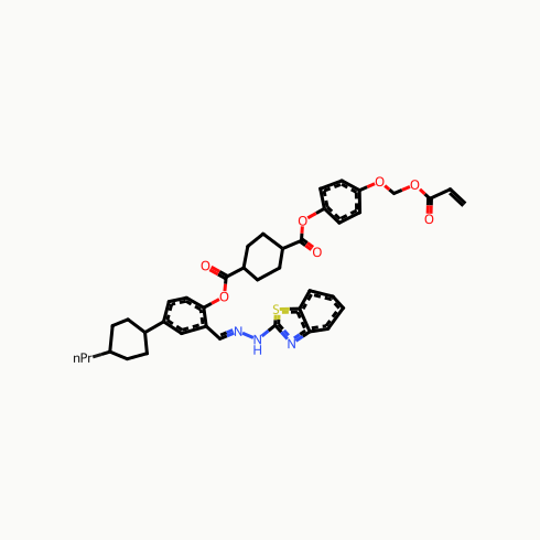 C=CC(=O)OCOc1ccc(OC(=O)C2CCC(C(=O)Oc3ccc(C4CCC(CCC)CC4)cc3/C=N/Nc3nc4ccccc4s3)CC2)cc1